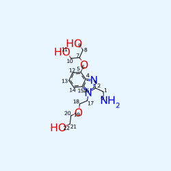 NCc1nc2c(OC(CO)CO)cccc2n1CCOCCO